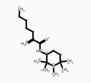 C=C(CCCCC)C(=O)NC1CCC(C)(C)N(C)C1(C)C